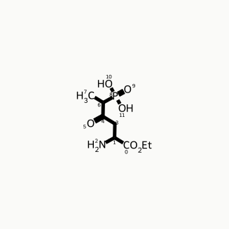 CCOC(=O)C(N)CC(=O)C(C)P(=O)(O)O